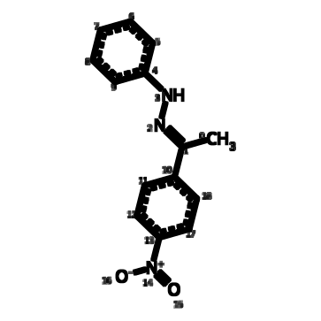 C/C(=N\Nc1ccccc1)c1ccc([N+](=O)[O-])cc1